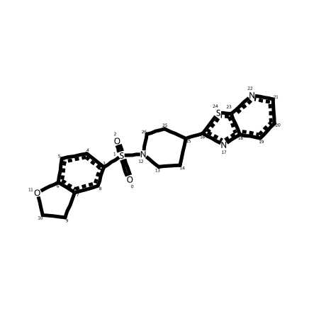 O=S(=O)(c1ccc2c(c1)CCO2)N1CCC(c2nc3cccnc3s2)CC1